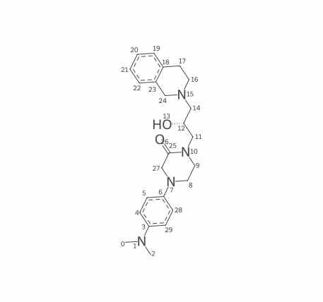 CN(C)c1ccc(N2CCN(C[C@H](O)CN3CCc4ccccc4C3)C(=O)C2)cc1